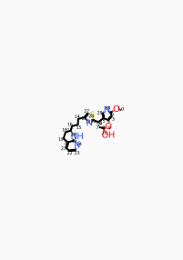 COc1ccc([C@H](CC(=O)O)c2nc(CCCC3CCc4cccnc4N3)cs2)cn1